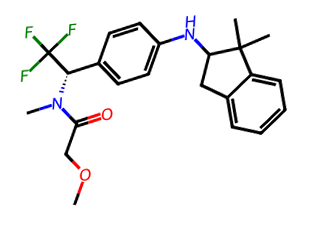 COCC(=O)N(C)[C@@H](c1ccc(NC2Cc3ccccc3C2(C)C)cc1)C(F)(F)F